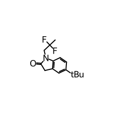 CC(F)(F)CN1C(=O)Cc2cc(C(C)(C)C)ccc21